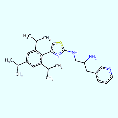 CC(C)c1cc(C(C)C)c(-c2csc(NCC(N)Cc3cccnc3)n2)c(C(C)C)c1